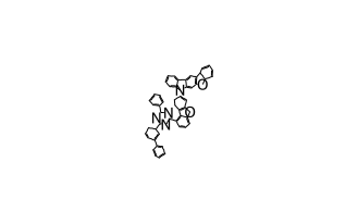 CN1C(C2C=C(c3ccccc3)C=CC2)=NC(c2cccc3oc4c(c23)CCC(n2c3ccccc3c3cc5c(cc32)OC2C=CC=CC52)=C4)=NC1c1ccccc1